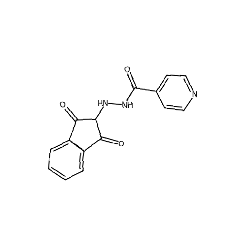 O=C(NNC1C(=O)c2ccccc2C1=O)c1ccncc1